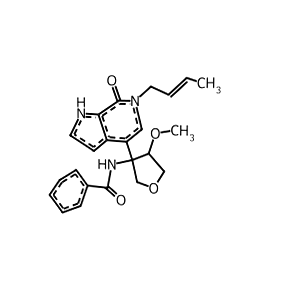 C/C=C/Cn1cc(C2(NC(=O)c3ccccc3)COCC2OC)c2cc[nH]c2c1=O